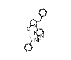 C[C@H](Nc1nccc(N2C(=O)CC[C@H]2Cc2ccccc2)n1)c1ccccc1